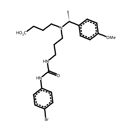 COc1ccc([C@@H](C)N(CCCNC(=O)Nc2ccc(Br)cc2)CCCC(=O)O)cc1